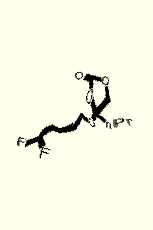 CCCC1(OCC=CC(F)F)COC(=O)O1